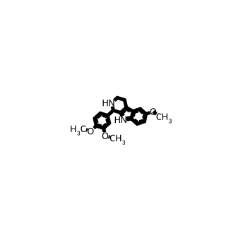 COc1ccc2[nH]c3c(c2c1)CCNC3c1ccc(OC)c(OC)c1